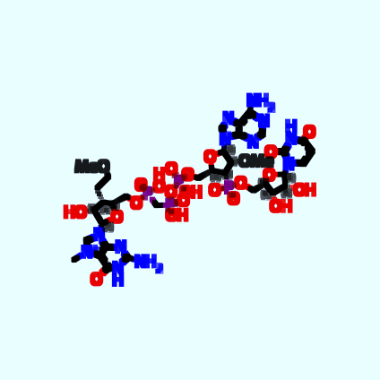 COCC[C@H]1[C@@H](O)[C@H](n2c[n+](C)c3c(=O)[nH]c(N)nc32)O[C@@H]1COP(=O)(O)CP(=O)(O)OP(=O)(O)OC[C@H]1O[C@@H](n2cnc3c(N)ncnc32)[C@H](OC)[C@@H]1P(=O)([O-])OC[C@H]1O[C@@H](n2ccc(=O)[nH]c2=O)[C@H](O)[C@@H]1O